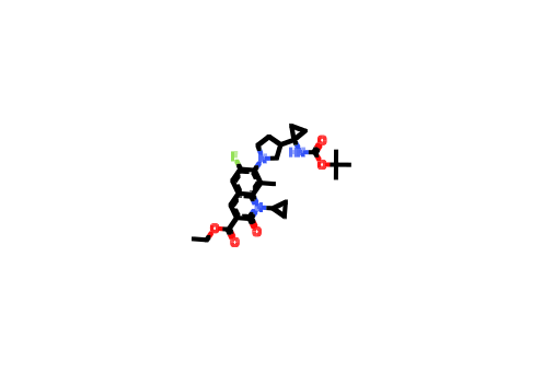 CCOC(=O)c1cc2cc(F)c(N3CCC(C4(NC(=O)OC(C)(C)C)CC4)C3)c(C)c2n(C2CC2)c1=O